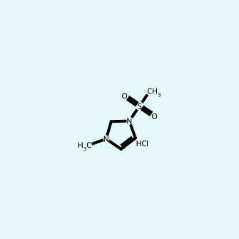 CN1C=CN(S(C)(=O)=O)C1.Cl